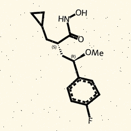 CO[C@H](C[C@H](CC1CC1)C(=O)NO)c1ccc(F)cc1